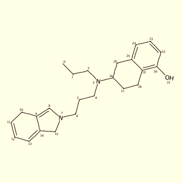 CCCN(CCCN1C=C2CC=CC=C2C1)C1CCc2c(O)cccc2C1